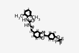 Cc1cccc(C)c1NC(=O)NN=Cc1ccc2oc(-c3ccc(OC(F)(F)F)cc3)nc2c1